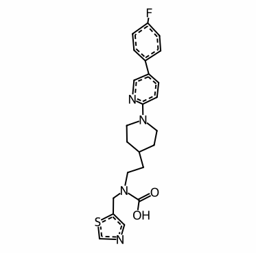 O=C(O)N(CCC1CCN(c2ccc(-c3ccc(F)cc3)cn2)CC1)Cc1cncs1